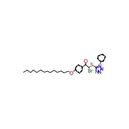 CCCCCCCCCCCCCCOc1ccc(C(=O)C(Br)Sc2nnnn2-c2ccccc2)cc1